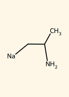 CC(N)[CH2][Na]